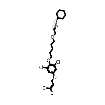 ClC(Cl)=CCOc1cc(Cl)c(OCCCCCOC/C=N/OC2CCCCC2)c(Cl)c1